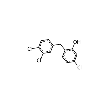 Oc1cc(Cl)ccc1Cc1ccc(Cl)c(Cl)c1